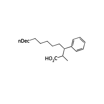 CCCCCCCCCCCCCCCC(c1ccccc1)C(C)C(=O)O